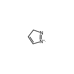 C1=C[N+]=NC1